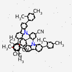 Cc1ccc(-c2ccc3c4ccc(-c5ccc(C)cc5C)cc4n(-c4cc(C#N)cc(-n5c6cc(-c7ccc(C)cc7C)ccc6c6ccc(-c7ccc(C)cc7C)cc65)c4-c4cccc(C#N)c4)c3c2)c(C)c1